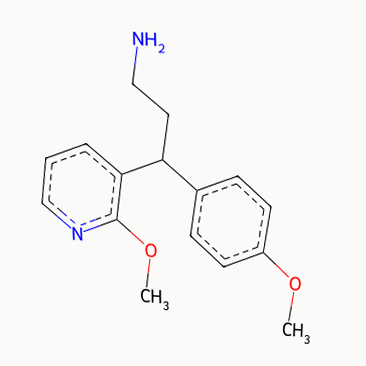 COc1ccc(C(CCN)c2cccnc2OC)cc1